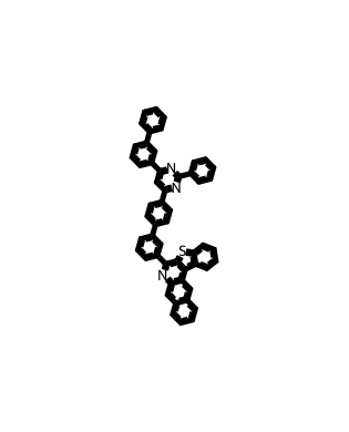 c1ccc(-c2cccc(-c3cc(-c4ccc(-c5cccc(-c6nc7cc8ccccc8cc7c7c6sc6ccccc67)c5)cc4)nc(-c4ccccc4)n3)c2)cc1